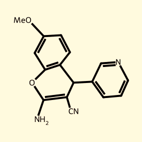 COc1ccc2c(c1)OC(N)=C(C#N)C2c1cccnc1